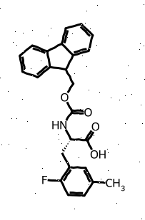 Cc1ccc(F)c(C[C@H](NC(=O)OCC2c3ccccc3-c3ccccc32)C(=O)O)c1